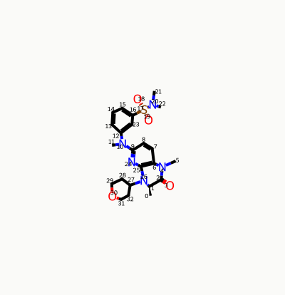 C[C@@H]1C(=O)N(C)c2ccc(N(C)c3cccc(S(=O)(=O)N(C)C)c3)nc2N1C1CCOCC1